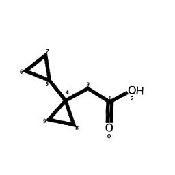 O=C(O)CC1(C2CC2)CC1